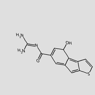 NC(N)=NC(=O)C1=CC(O)C2=c3ccsc3=CC2=C1